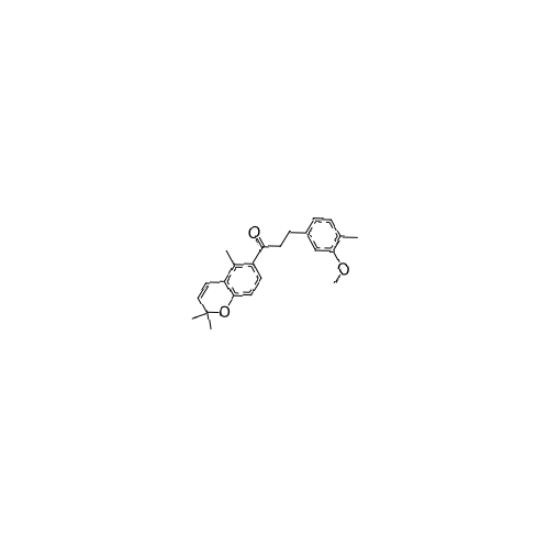 COc1cc(CCC(=O)c2ccc3c(c2C)C=CC(C)(C)O3)ccc1C